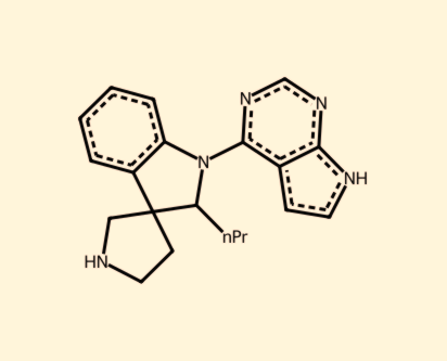 CCCC1N(c2ncnc3[nH]ccc23)c2ccccc2C12CCNC2